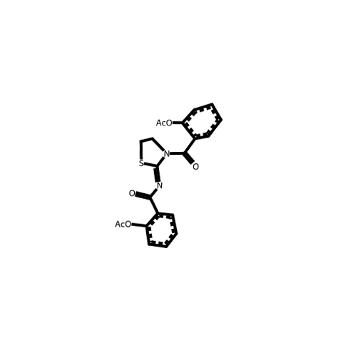 CC(=O)Oc1ccccc1C(=O)N=C1SCCN1C(=O)c1ccccc1OC(C)=O